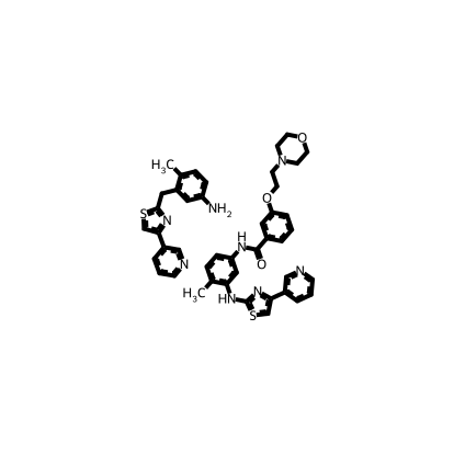 Cc1ccc(N)cc1Cc1nc(-c2cccnc2)cs1.Cc1ccc(NC(=O)c2cccc(OCCN3CCOCC3)c2)cc1Nc1nc(-c2cccnc2)cs1